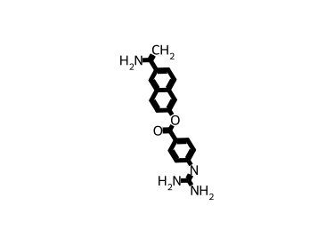 C=C(N)c1ccc2cc(OC(=O)c3ccc(N=C(N)N)cc3)ccc2c1